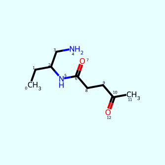 CCC(CN)NC(=O)CCC(C)=O